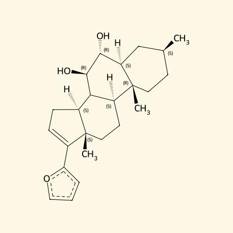 C[C@H]1CC[C@@]2(C)[C@H](C1)[C@@H](O)[C@H](O)C1[C@@H]2CC[C@]2(C)C(c3ccco3)=CC[C@@H]12